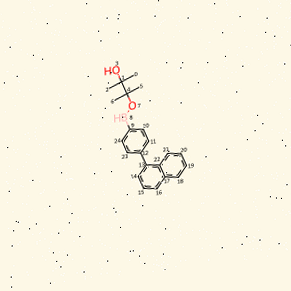 CC(C)(O)C(C)(C)OBc1ccc(-c2cccc3ccccc23)cc1